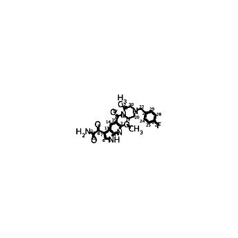 COc1nc2[nH]cc(C(=O)C(N)=O)c2cc1C(=O)N1CCN(Cc2ccc(F)cc2)C[C@H]1C